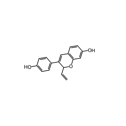 C=CC1Oc2cc(O)ccc2C=C1c1ccc(O)cc1